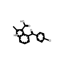 Cc1[nH]c2cccc(C(=O)c3ccc(Cl)cc3)c2c1C(=O)O